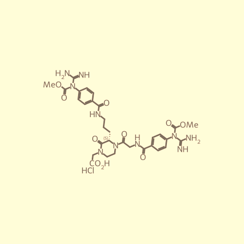 COC(=O)N(C(=N)N)c1ccc(C(=O)NCCC[C@H]2C(=O)N(CC(=O)O)CCN2C(=O)CNC(=O)c2ccc(N(C(=N)N)C(=O)OC)cc2)cc1.Cl